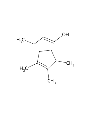 CC/C=C/O.CC1=C(C)C(C)CC1